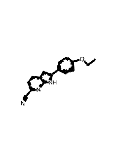 CCOc1ccc(-c2cc3ccc(C#N)nc3[nH]2)cc1